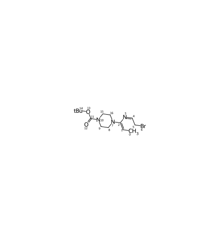 C/C=C(\N=C/CBr)N1CCN(C(=O)OC(C)(C)C)CC1